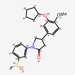 COc1ccc(C2CC(=O)N(c3cccc([S+](C)[O-])c3)C2)cc1OC1CCCC1